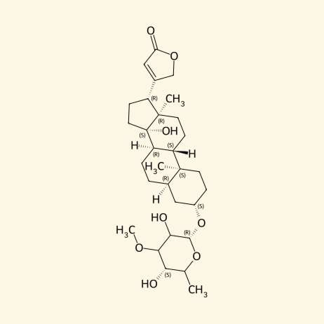 COC1C(O)[C@H](O[C@H]2CC[C@@]3(C)[C@H](CC[C@@H]4[C@@H]3CC[C@]3(C)[C@@H](C5=CC(=O)OC5)CC[C@]43O)C2)OC(C)[C@@H]1O